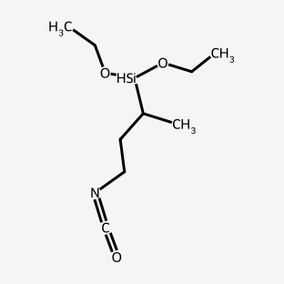 CCO[SiH](OCC)C(C)CCN=C=O